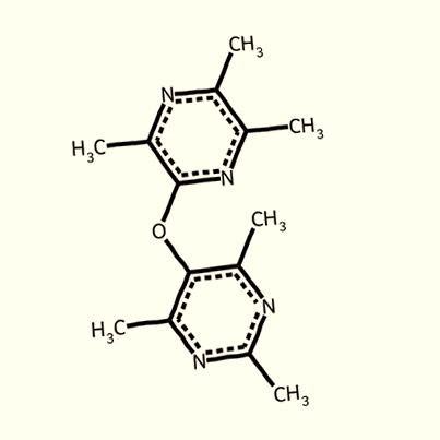 Cc1nc(C)c(Oc2nc(C)c(C)nc2C)c(C)n1